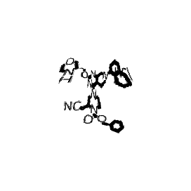 Cl.N#CCC1CN(c2nc(OC[C@H]3COCCN3)nc3c2CCN(c2cccc4ccccc24)C3)CCN1C(=O)OCc1ccccc1